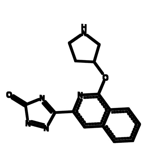 O=C1N=NC(c2cc3ccccc3c(OC3CCNC3)n2)=N1